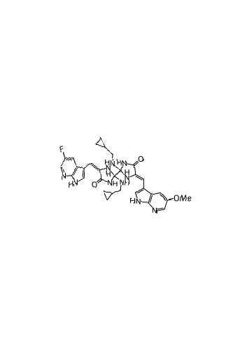 COc1cnc2[nH]cc(C=C3NC(NCC4CC4)(C4(NCC5CC5)NC(=O)C(=Cc5c[nH]c6ncc(F)cc56)N4)NC3=O)c2c1